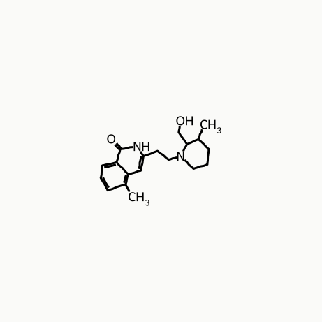 Cc1cccc2c(=O)[nH]c(CCN3CCCC(C)C3CO)cc12